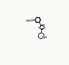 COc1cccc(-c2noc(C3CCCNC3)n2)c1